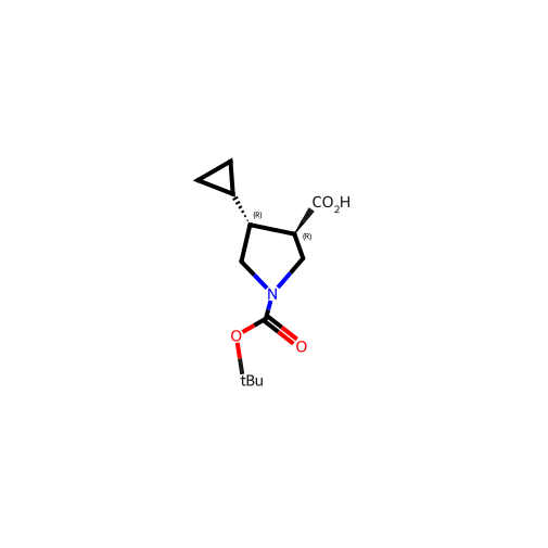 CC(C)(C)OC(=O)N1C[C@H](C(=O)O)[C@@H](C2CC2)C1